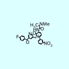 CN[C@H](C)C(=O)Nc1ccc(-c2cccc([N+](=O)[O-])c2)n(Cc2cncc(C(=O)c3ccc(F)cc3)c2)c1=O